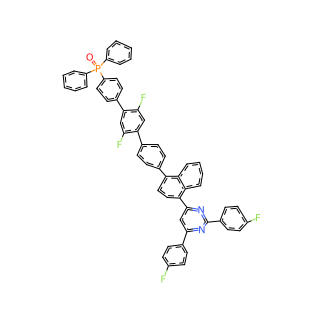 O=P(c1ccccc1)(c1ccccc1)c1ccc(-c2cc(F)c(-c3ccc(-c4ccc(-c5cc(-c6ccc(F)cc6)nc(-c6ccc(F)cc6)n5)c5ccccc45)cc3)cc2F)cc1